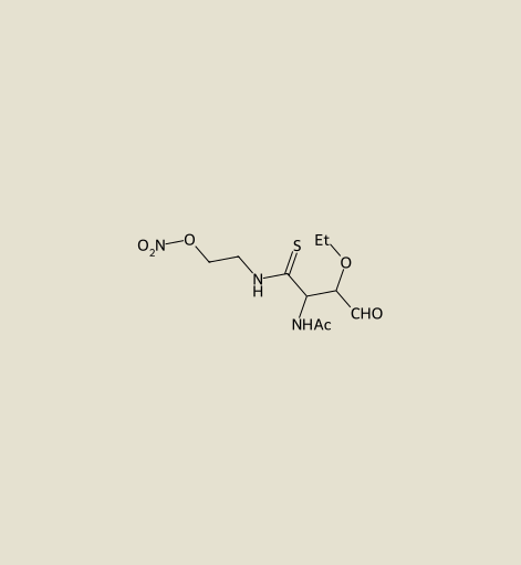 CCOC(C=O)C(NC(C)=O)C(=S)NCCO[N+](=O)[O-]